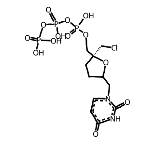 O=c1ccn(CC2CC[C@@](CCl)(COP(=O)(O)OP(=O)(O)OP(=O)(O)O)O2)c(=O)[nH]1